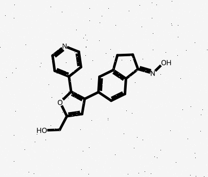 OCc1cc(-c2ccc3c(c2)CC/C3=N\O)c(-c2ccncc2)o1